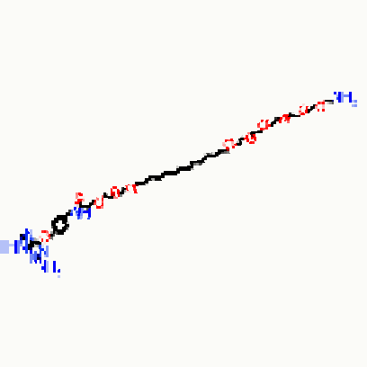 NCCOCCOCCOCCOCCOCCOCCCCCCCCCCCCCCOCCOCCOCCC(=O)NCc1ccc(COc2nc(N)nc3[nH]cnc23)cc1